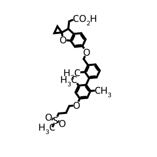 Cc1cc(OCCCS(C)(=O)=O)cc(C)c1-c1cccc(COc2ccc3c(c2)OC2(CC2)C3CC(=O)O)c1C